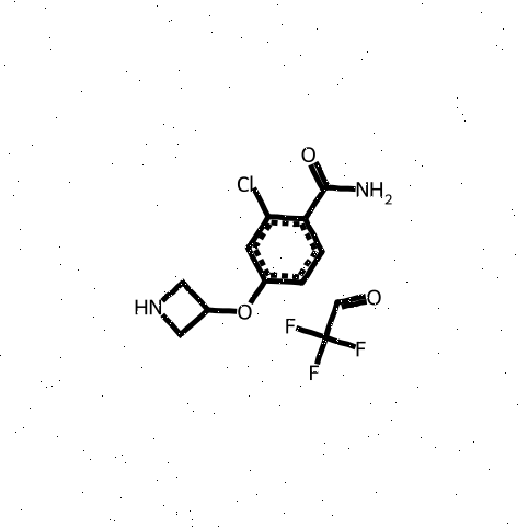 NC(=O)c1ccc(OC2CNC2)cc1Cl.O=CC(F)(F)F